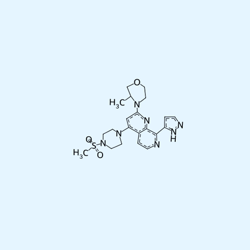 CC1COCCN1c1cc(N2CCN(S(C)(=O)=O)CC2)c2ccnc(-c3ccn[nH]3)c2n1